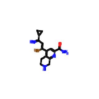 N=C(/C=C(\S)c1cc(C(N)=O)nc2c1CCNC2)C1CC1